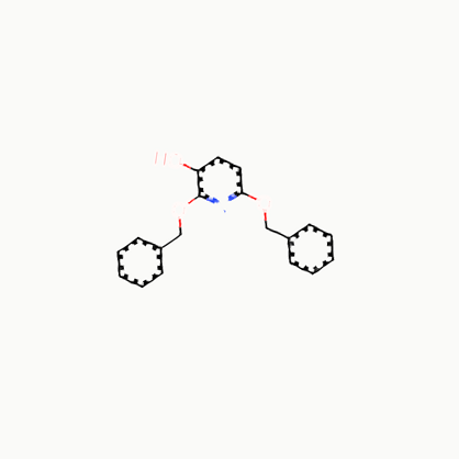 Oc1ccc(OCc2ccccc2)nc1OCc1ccccc1